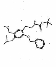 COCc1cc(CCNC(=O)OC(C)(C)C)c(OCc2ccccc2)cc1CC(C)C